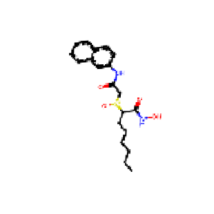 CCCCCCC(C(=O)NO)[S+]([O-])CC(=O)Nc1ccc2ccccc2c1